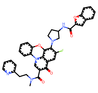 CN(CCc1ccccn1)C(=O)c1cn2c3c(c(N4CCC(NC(=O)c5cc6ccccc6o5)C4)c(F)cc3c1=O)Oc1ccccc1-2